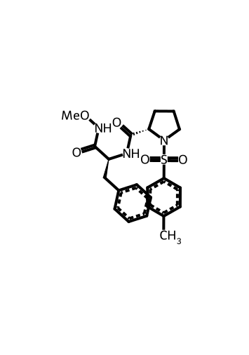 CONC(=O)[C@H](Cc1ccccc1)NC(=O)[C@@H]1CCCN1S(=O)(=O)c1ccc(C)cc1